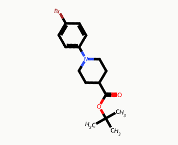 CC(C)(C)OC(=O)C1CCN(c2ccc(Br)cc2)CC1